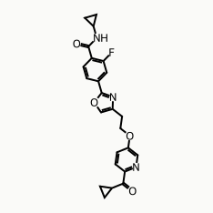 O=C(NC1CC1)c1ccc(-c2nc(CCOc3ccc(C(=O)C4CC4)nc3)co2)cc1F